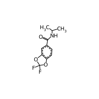 CC(C)NC(=O)c1ccc2c(c1)OC(F)(F)O2